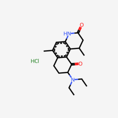 CCN(CC)C1CCc2c(C)cc3c(c2C1=O)C(C)CC(=O)N3.Cl